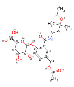 CCOC(C)(C)CCNC(=O)c1cc(COC(C)=O)ccc1O[C@@H]1O[C@H](C(=O)O)C[C@H](O)[C@H]1O